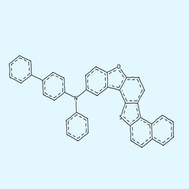 c1ccc(-c2ccc(N(c3ccccc3)c3ccc4oc5ccc6c(sc7ccc8ccccc8c76)c5c4c3)cc2)cc1